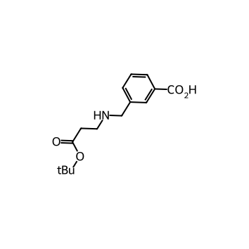 CC(C)(C)OC(=O)CCNCc1cccc(C(=O)O)c1